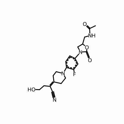 CC(=O)NCC1CN(c2ccc(N3CCC(=C(C#N)CCO)CC3)c(F)c2)C(=O)O1